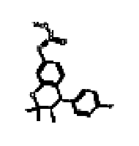 CO[SH](=O)=Nc1ccc2c(c1)OC(C)(C)[C@H](C)C2c1ccc(F)cc1